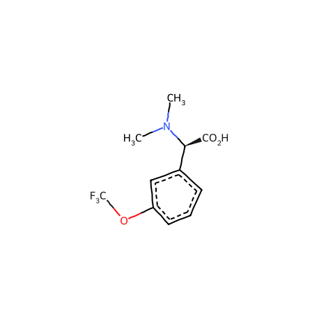 CN(C)[C@@H](C(=O)O)c1cccc(OC(F)(F)F)c1